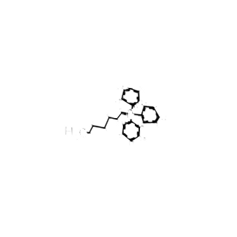 CCCCCCC=P(c1ccccc1)(c1ccccc1)c1ccccc1